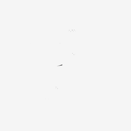 CNC(=O)[C@@H](NCC[C@@H](c1ccc(C(F)(F)F)nc1)c1ccc(F)c(C)c1)c1ccc(C)cc1